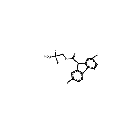 O=C(OCC(F)(F)S(=O)(=O)O)C1c2cc(I)ccc2-c2ccc(I)cc21